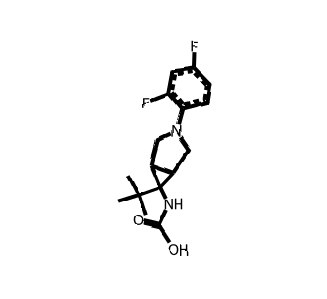 CC(C)(C)C1(NC(=O)O)C2CN(c3ccc(F)cc3F)CC21